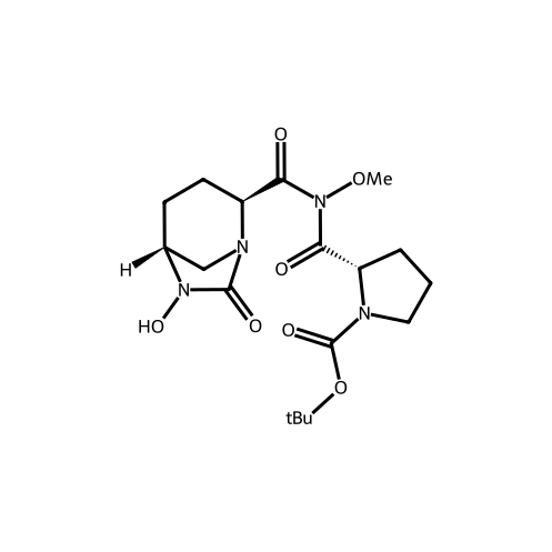 CON(C(=O)[C@@H]1CCCN1C(=O)OC(C)(C)C)C(=O)[C@@H]1CC[C@@H]2CN1C(=O)N2O